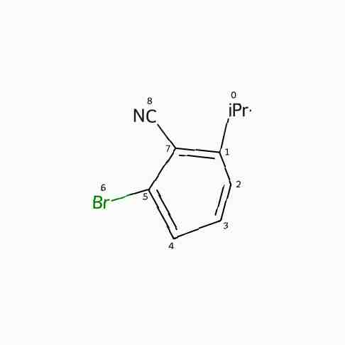 C[C](C)c1cccc(Br)c1C#N